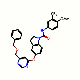 COc1ccc(NC(=O)N2CCc3cc(Oc4cc(COCc5ccccc5)ncn4)ccc32)cc1C(F)(F)F